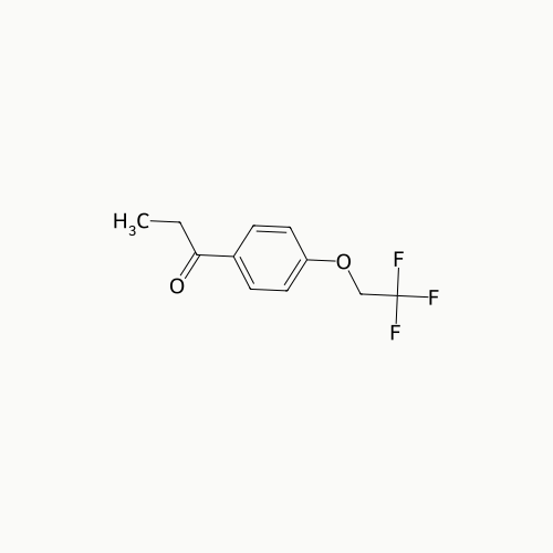 CCC(=O)c1ccc(OCC(F)(F)F)cc1